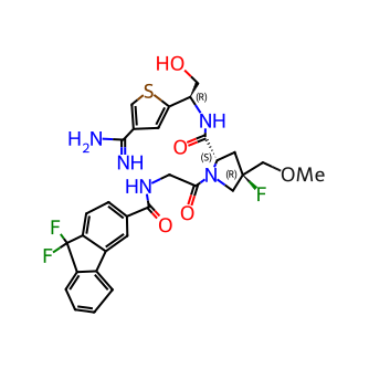 COC[C@@]1(F)C[C@@H](C(=O)N[C@H](CO)c2cc(C(=N)N)cs2)N(C(=O)CNC(=O)c2ccc3c(c2)-c2ccccc2C3(F)F)C1